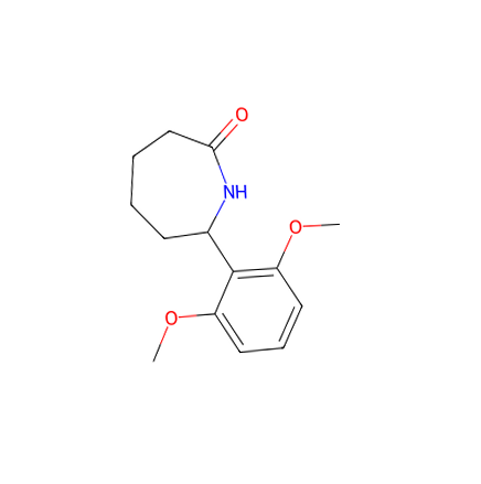 COc1cccc(OC)c1C1CCCCC(=O)N1